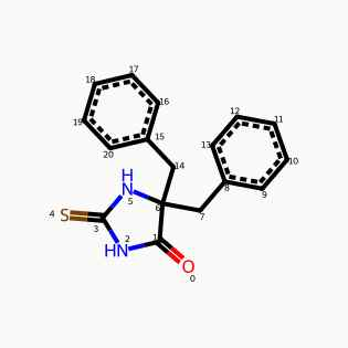 O=C1NC(=S)NC1(Cc1ccccc1)Cc1ccccc1